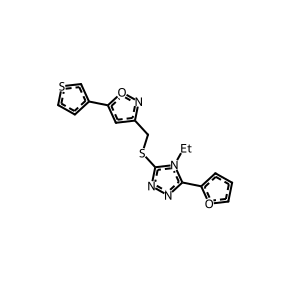 CCn1c(SCc2cc(-c3ccsc3)on2)nnc1-c1ccco1